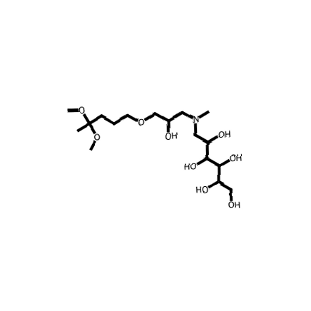 COC(C)(CCCOCC(O)CN(C)CC(O)C(O)C(O)C(O)CO)OC